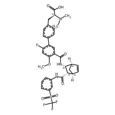 COc1cc(F)c(-c2ccc(C[C@@H](C(=O)O)N(C)C)cc2)cc1C(=O)N[C@H]1[C@@H](C(=O)Nc2cccc(S(=O)(=O)C(F)(F)F)c2)[C@@H]2C=C[C@H]1C2